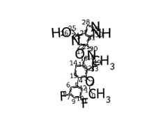 CCOc1c(-c2cc(F)cc(F)c2)ccc(C(=O)N(C)Cc2cnc(CO)c3cn[nH]c23)c1F